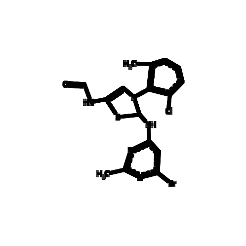 Cc1nc(Br)cc(NC2SC(NC=O)=CN2c2c(C)cccc2Cl)n1